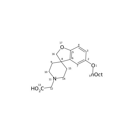 CCCCCCCCOc1ccc2c(c1)C1(CCN(CC(=O)O)CC1)CO2